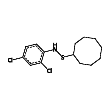 Clc1ccc(NSC2CCCCCCC2)c(Cl)c1